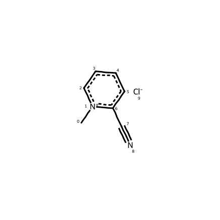 C[n+]1ccccc1C#N.[Cl-]